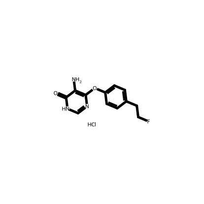 Cl.Nc1c(Oc2ccc(CCF)cc2)nc[nH]c1=O